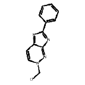 ClCn1ccc2nc(-c3ccccc3)nc-2n1